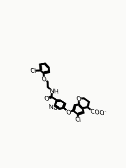 O=C(NCCOc1ccccc1Cl)c1ccc(Oc2cc3c(cc2Cl)C(C(=O)[O-])CCO3)cc1.[Na+]